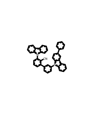 N#Cc1c(-c2cccc(-n3c4ccccc4c4cc(-c5ccccc5)ccc43)c2)cccc1-n1c2ccccc2c2ccccc21